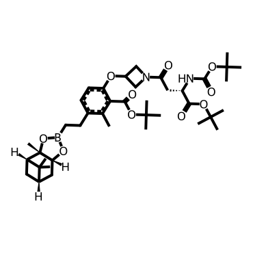 Cc1c(CCB2O[C@@H]3C[C@@H]4C[C@@H](C4(C)C)[C@]3(C)O2)ccc(OC2CN(C(=O)C[C@H](NC(=O)OC(C)(C)C)C(=O)OC(C)(C)C)C2)c1C(=O)OC(C)(C)C